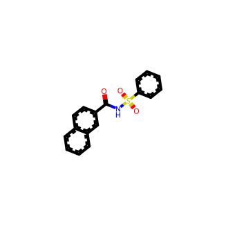 O=C(NS(=O)(=O)c1ccccc1)c1ccc2ccccc2c1